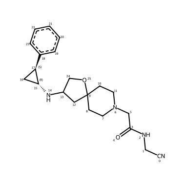 N#CCNC(=O)CN1CCC2(CC1)CC(N[C@@H]1C[C@H]1c1ccccc1)CO2